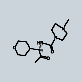 CC(=O)[C@@H](NC(=O)N1CCN(C)CC1)C1CCOCC1